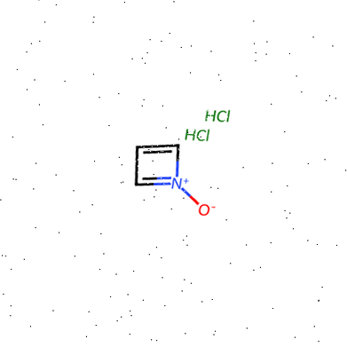 Cl.Cl.[O-][N+]1=CC=C1